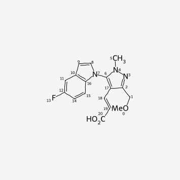 COCc1nn(C)c(-n2ccc3cc(F)ccc32)c1/C=C/C(=O)O